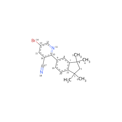 CC1(C)CC(C)(C)c2cc(-c3ncc(Br)cc3C#N)ccc21